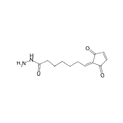 NNC(=O)CCCCCC=C1C(=O)C=CC1=O